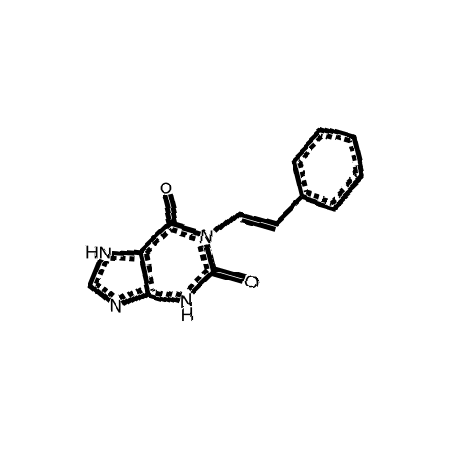 O=c1[nH]c2nc[nH]c2c(=O)n1C=Cc1ccccc1